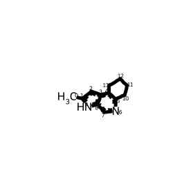 Cc1cc2c3c(ncc2[nH]1)CCCC3